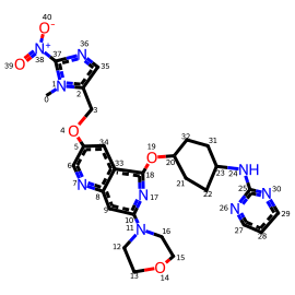 Cn1c(COc2cnc3cc(N4CCOCC4)nc(OC4CCC(Nc5ncccn5)CC4)c3c2)cnc1[N+](=O)[O-]